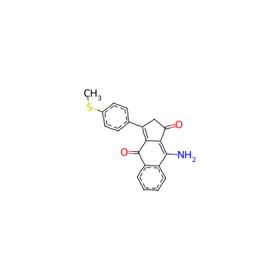 CSc1ccc(C2=C3C(=O)c4ccccc4C(N)=C3C(=O)C2)cc1